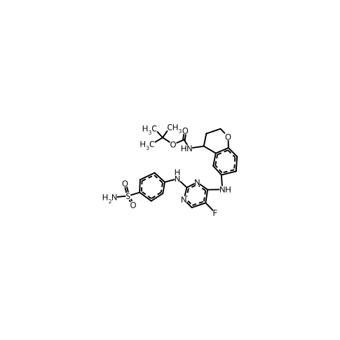 CC(C)(C)OC(=O)NC1CCOc2ccc(Nc3nc(Nc4ccc(S(N)(=O)=O)cc4)ncc3F)cc21